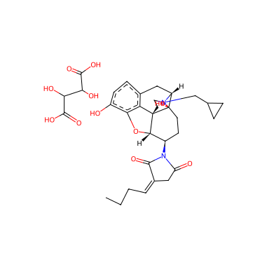 CCCC=C1CC(=O)N([C@@H]2CC[C@@]3(O)[C@H]4Cc5ccc(O)c6c5[C@@]3(CCN4CC3CC3)[C@H]2O6)C1=O.O=C(O)C(O)C(O)C(=O)O